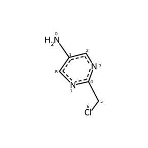 Nc1cnc(CCl)nc1